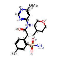 CCc1ccc([C@@H](CC2CCOCC2)C(=O)Nc2cc(OC)ncn2)c(S(N)(=O)=O)c1